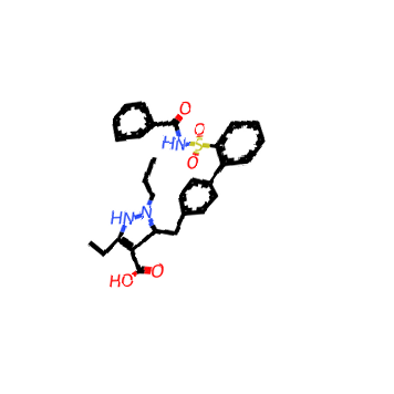 CCCN1NC(CC)=C(C(=O)O)C1Cc1ccc(-c2ccccc2S(=O)(=O)NC(=O)c2ccccc2)cc1